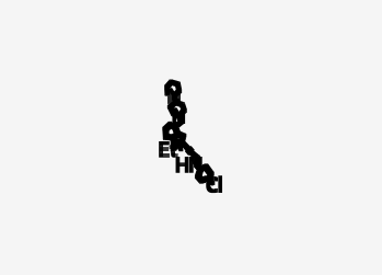 CCn1c(C#CCNc2ccc(Cl)cc2)cc2c(CN3CCC(N4CCCCC4)CC3)cccc21